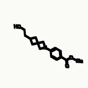 CC(C)(C)OC(=O)c1ccc(N2CC3(CC(CCO)C3)C2)cc1